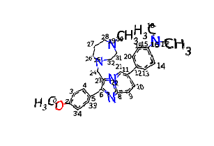 COc1ccc(-c2nc3ccc(-c4ccc(N(C)C)cc4)cn3c2CN2CCCN(C)CC2)cc1